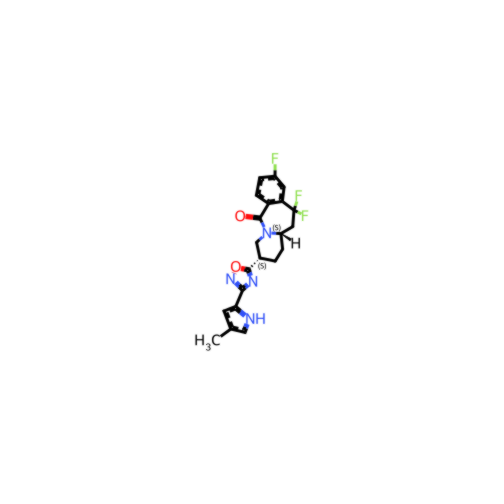 Cc1c[nH]c(-c2noc([C@H]3CC[C@H]4CC(F)(F)c5cc(F)ccc5C(=O)N4C3)n2)c1